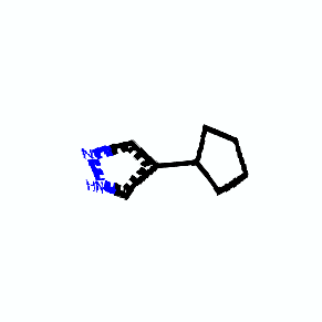 c1n[nH]cc1C1CCCC1